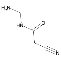 N#CCC(=O)NCN